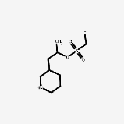 CC(CC1CCCNC1)OS(=O)(=O)CCl